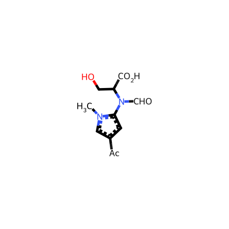 CC(=O)c1cc(N(C=O)C(CO)C(=O)O)n(C)c1